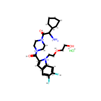 Cl.NC(C(=O)N1CCN(C(=O)c2cc3cc(F)c(F)cc3n2CCOCCO)CC1)C1CCCCC1